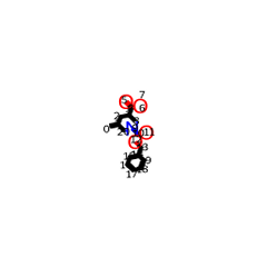 C=C1CC(C(=O)OC)CN(C(=O)OCc2ccccc2)C1